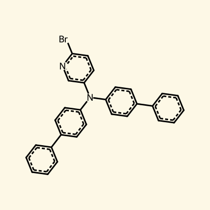 Brc1ccc(N(c2ccc(-c3ccccc3)cc2)c2ccc(-c3ccccc3)cc2)cn1